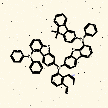 C=Cc1cccc(N(c2ccc3c(c2)sc2c(N(c4ccccc4)c4ccc5c(c4)-c4ccccc4C5(C)C)cccc23)c2ccc3c(c2)sc2cccc(N(c4ccccc4)c4ccccc4)c23)c1/C=C\C